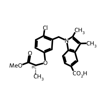 COC(=O)[C@@H](C)Oc1ccc(Cl)c(Cn2c(C)c(C)c3cc(C(=O)O)ccc32)c1